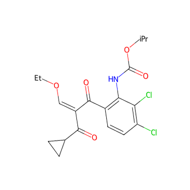 CCO/C=C(\C(=O)c1ccc(Cl)c(Cl)c1NC(=O)OC(C)C)C(=O)C1CC1